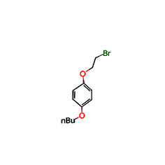 CCCCOc1ccc(OCCBr)cc1